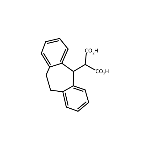 O=C(O)C(C(=O)O)C1c2ccccc2CCc2ccccc21